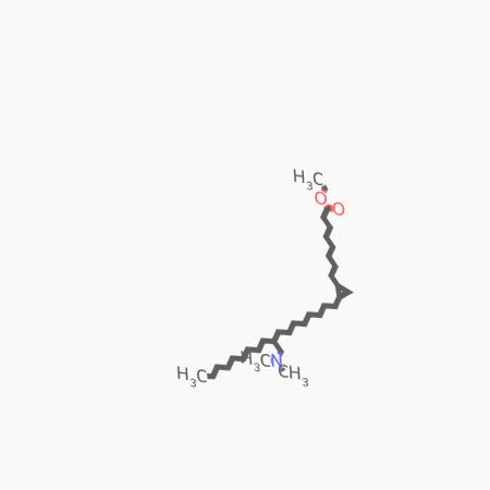 CCCCCCCCCC(CCCCCCCCC1CC1CCCCCCCC(=O)OCC)CN(C)C